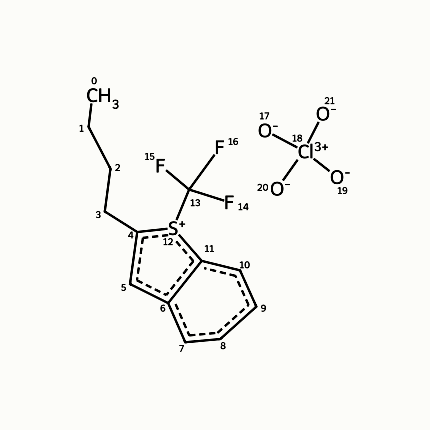 CCCCc1cc2ccccc2[s+]1C(F)(F)F.[O-][Cl+3]([O-])([O-])[O-]